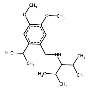 COc1cc(CNC(C(C)C)C(C)C)c(C(C)C)cc1OC